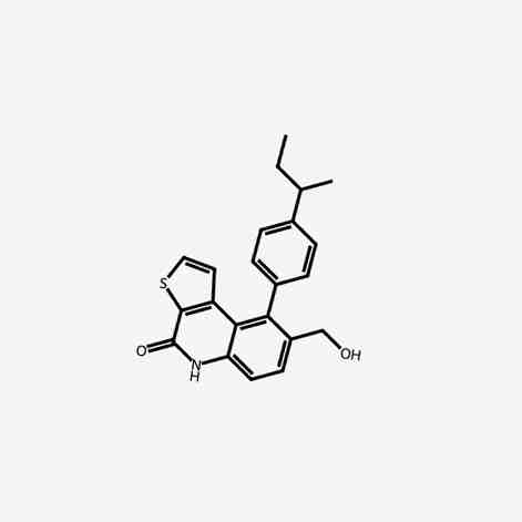 CCC(C)c1ccc(-c2c(CO)ccc3[nH]c(=O)c4sccc4c23)cc1